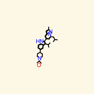 Cc1cc2cc(-c3[nH]c4ccc(C5CCN(C6COC6)CC5)cc4c3C(C)C)cc(CC(C)C)n2n1